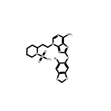 CS(=O)(=O)N1CCCCC1CCn1cnc(N)c2nc(Sc3cc4c(cc3Br)OCO4)nc1-2